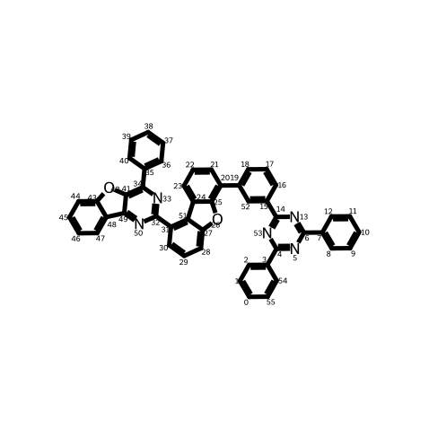 c1ccc(-c2nc(-c3ccccc3)nc(-c3cccc(-c4cccc5c4oc4cccc(-c6nc(-c7ccccc7)c7oc8ccccc8c7n6)c45)c3)n2)cc1